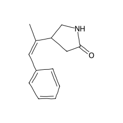 CC(=Cc1ccccc1)C1CNC(=O)C1